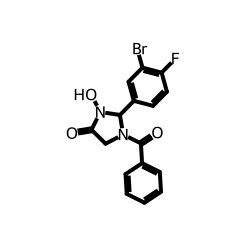 O=C1CN(C(=O)c2ccccc2)C(c2ccc(F)c(Br)c2)N1O